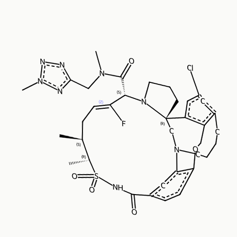 C[C@@H]1[C@@H](C)C/C=C(\F)[C@H](C(=O)N(C)Cc2nnn(C)n2)N2CCC[C@@]23CN2CCCCc4cc(Cl)cc3c4COc3ccc(cc32)C(=O)NS1(=O)=O